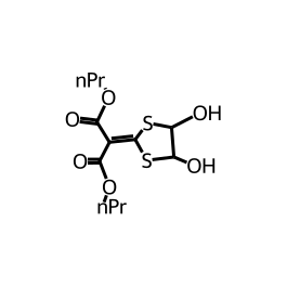 CCCOC(=O)C(C(=O)OCCC)=C1SC(O)C(O)S1